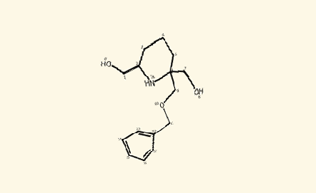 OCC1CCCC(CO)(COCc2ccccc2)N1